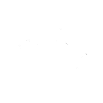 N=C/N=c1/ccc(CNc2nc(-c3cnn(CC(F)(F)F)c3)ccc2N)c[nH]1